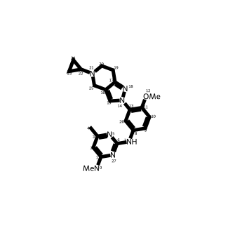 CNc1cc(C)nc(Nc2ccc(OC)c(-n3cc4c(n3)CCN(C3CC3)C4)c2)n1